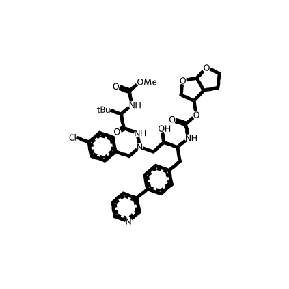 COC(=O)NC(C(=O)NN(Cc1ccc(Cl)cc1)CC(O)C(Cc1ccc(-c2cccnc2)cc1)NC(=O)OC1COC2OCCC12)C(C)(C)C